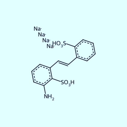 Nc1cccc(C=Cc2ccccc2S(=O)(=O)O)c1S(=O)(=O)O.[Na].[Na].[Na].[Na]